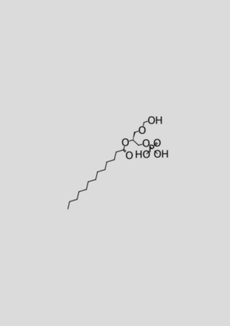 CCCCCCCCCCCCC(=O)O[C@@H](COCO)COP(=O)(O)O